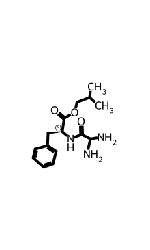 CC(C)COC(=O)[C@H](Cc1ccccc1)NC(=O)C(N)N